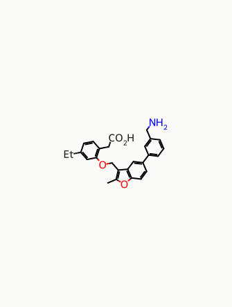 CCc1ccc(CC(=O)O)c(OCc2c(C)oc3ccc(-c4cccc(CN)c4)cc23)c1